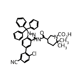 CC1(C)CCC(C(=O)Nc2nn(C(c3ccccc3)(c3ccccc3)c3ccccc3)c3ccc(-c4cc(C#N)ccc4Cl)cc23)CN1C(=O)O